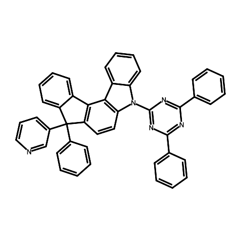 c1ccc(-c2nc(-c3ccccc3)nc(-n3c4ccccc4c4c5c(ccc43)C(c3ccccc3)(c3cccnc3)c3ccccc3-5)n2)cc1